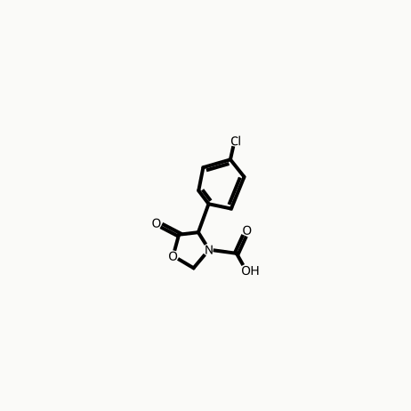 O=C1OCN(C(=O)O)C1c1ccc(Cl)cc1